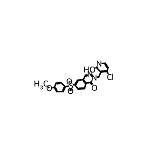 COc1ccc(S(=O)(=O)c2ccc3c(=O)n(Cc4c(Cl)ccnc4O)ncc3c2)cc1